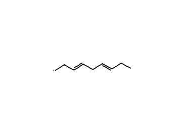 [CH2]CC=CCC=CCC